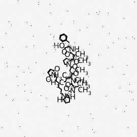 CC[C@H](C)[C@@H]([C@@H](CC(=O)N1CCC[C@H]1[C@H](OC)[C@@H](C)C(=O)N[C@@H](Cc1ccccc1)C(=O)O)OC)N(C)C(=O)[C@@H](NC(=O)[C@@H]1C2CC[C@@H](C2)N1CCCCCCN1C(=O)C=CC1=O)C(C)C